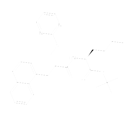 CCCC[C@H](NC(=O)[C@@H](CSc1ncccn1)Cc1cccc2ccccc12)C(=O)OC(C)(C)C